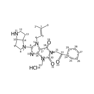 CC(C)=CCn1c(N2CCC3NCCC32)nc2c1c(=O)n(CC(=O)c1ccccc1)c(=O)n2C.Cl